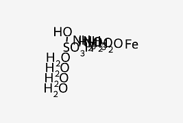 N.N.O.O.O.O.O.O.O.O=S(=O)(O)O.[Fe]